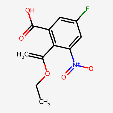 C=C(OCC)c1c(C(=O)O)cc(F)cc1[N+](=O)[O-]